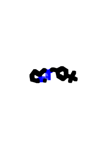 C[n+]1ccccc1CNCc1ccc(C(C)(C)C)cc1